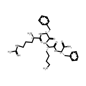 N=C(N)NCCC[C@@H](N)C(=O)N[C@H](Cc1ccccc1)C(=O)N[C@@H](CCCCN)C(=O)N[C@@H](Cc1ccccc1)C(N)=O